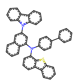 c1ccc(-c2ccc(N(c3cc(-n4c5ccccc5c5ccccc54)cc4ccccc34)c3cccc4c3sc3ccccc34)cc2)cc1